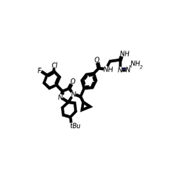 CC(C)(C)C1CCC2(CC1)N=C(C1=CC(Cl)=C(F)CC1)C(=O)N2C(c1ccc(C(=O)NCC(=N)/N=N\N)cc1)C1CC1